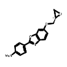 CNc1ccc(-c2nc3ccc(OC[C@H]4CO4)cc3o2)cc1